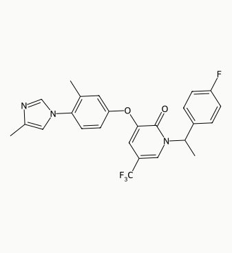 Cc1cn(-c2ccc(Oc3cc(C(F)(F)F)cn(C(C)c4ccc(F)cc4)c3=O)cc2C)cn1